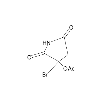 CC(=O)OC1(Br)CC(=O)NC1=O